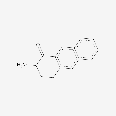 NC1CCc2cc3ccccc3cc2C1=O